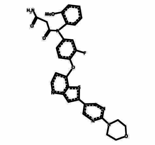 COc1ccccc1N(C(=O)CC(N)=O)c1ccc(Oc2ccnc3cc(-c4cnc(N5CCOCC5)nc4)sc23)c(F)c1